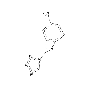 Nc1ccc2c(c1)C(n1cnnn1)O2